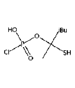 CCC(C)C(C)(S)OP(=O)(O)Cl